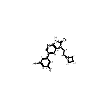 O=c1[nH]c2ncc(-c3cc(F)cc(F)c3)cc2n1CCN1CCC1